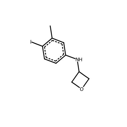 Cc1cc(NC2COC2)ccc1I